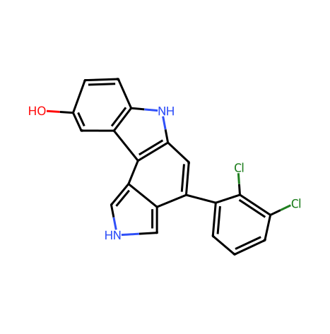 Oc1ccc2[nH]c3cc(-c4cccc(Cl)c4Cl)c4c[nH]cc4c3c2c1